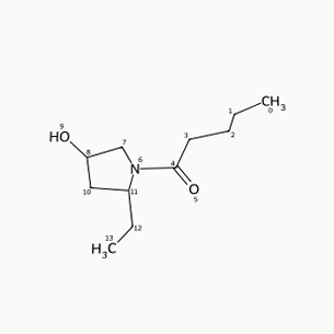 CCCCC(=O)N1CC(O)CC1CC